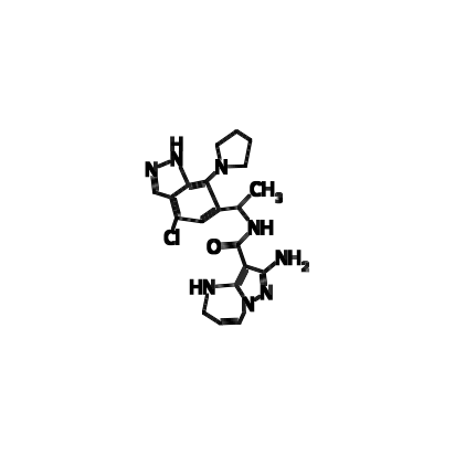 CC(NC(=O)c1c(N)nn2c1NCC=C2)c1cc(Cl)c2cn[nH]c2c1N1CCCC1